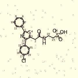 O=C(Cc1sc(-c2ccccc2)nc1-c1ccc(Cl)cc1)NCCS(=O)(=O)O